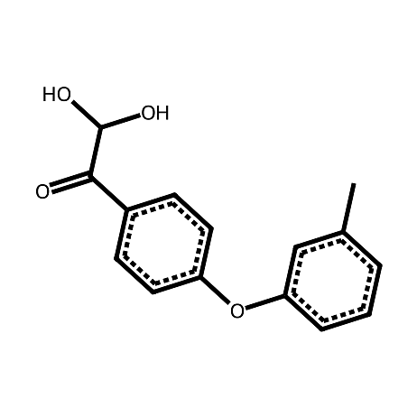 Cc1cccc(Oc2ccc(C(=O)C(O)O)cc2)c1